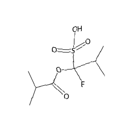 CC(C)C(=O)OC(F)(C(C)C)S(=O)(=O)O